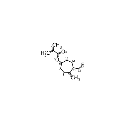 C=C(C)C(=O)OC1CCC(C)C(CF)CC1